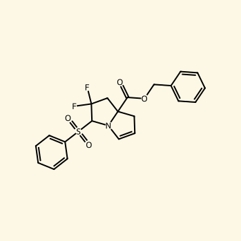 O=C(OCc1ccccc1)C12CC=CN1C(S(=O)(=O)c1ccccc1)C(F)(F)C2